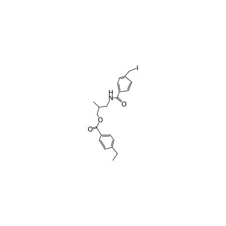 CCc1ccc(C(=O)OCC(C)CNC(=O)c2ccc(CI)cc2)cc1